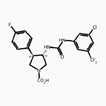 O=C(Nc1cc(Cl)cc(C(F)(F)F)c1)N[C@@H]1CN(C(=O)O)C[C@H]1c1ccc(F)cc1